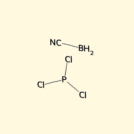 BC#N.ClP(Cl)Cl